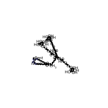 CCCCC/C=C\C/C=C\CCCCCCCCC1(CCCCCCCC/C=C\C/C=C\CCCCC)OC[C@H](CN(C)CCCCCC(=O)NC(COCCC(=O)NCCOCCOCCOC2=C(O)C(O)[C@H](O)C(CO)O2)(COCCC(=O)NCCOCCOCCO[C@@H]2OC(CO)[C@@H](O)C(O)C2O)COCCC(=O)NCCOCCOCCO[C@@H]2OC(CO)[C@@H](O)C(O)C2O)O1